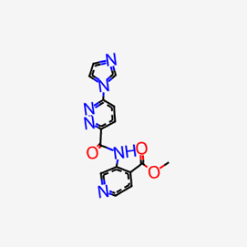 COC(=O)c1ccncc1NC(=O)c1ccc(-n2ccnc2)nn1